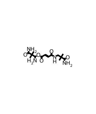 CC(C)(CNC(=O)/C=C/C(=O)OC(N)C(C)(C)C(N)=O)C(N)=O